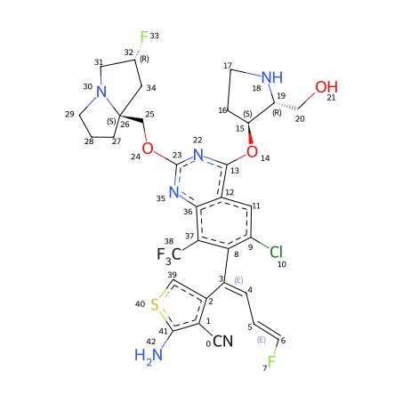 N#Cc1c(/C(=C\C=C\F)c2c(Cl)cc3c(O[C@H]4CCN[C@@H]4CO)nc(OC[C@@]45CCCN4C[C@H](F)C5)nc3c2C(F)(F)F)csc1N